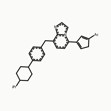 CC(=O)C1=CC(c2ccc(Cc3ccc(C4CCC(C(C)C)CC4)cc3)c3nccn23)=CC1